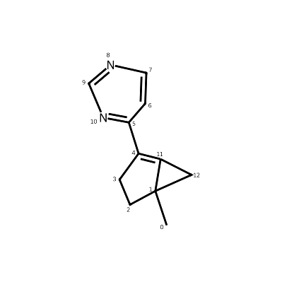 CC12CCC(c3ccncn3)=C1C2